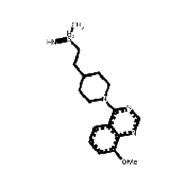 COc1cccc2c(N3CCC(CC[SH2](C)=N)CC3)ncnc12